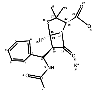 CC(=O)NC(c1ccccc1)[C@@H]1C(=O)N2[C@@H]1SC(C)(C)[C@@H]2C(=O)[O-].[K+]